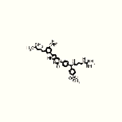 C[C@H](N)CCCc1cc(SC(F)(F)F)cc(-c2cc3cn(-c4ccc([C@@H](NCCCNC(=N)N)c5ccc(S(C)(=O)=O)cc5)cc4)c(=O)nc3[nH]2)c1